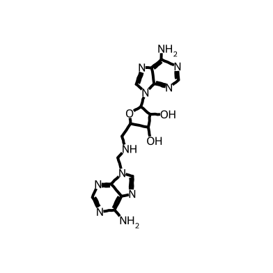 Nc1ncnc2c1ncn2CNCC1OC(n2cnc3c(N)ncnc32)C(O)C1O